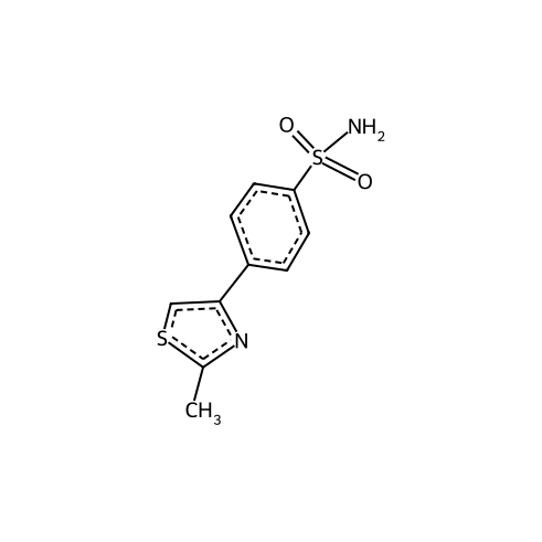 Cc1nc(-c2ccc(S(N)(=O)=O)cc2)cs1